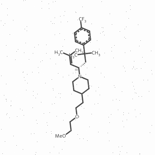 COCCOCCC1CCN([C@H](C=C(C)C)CC(C)(C)c2ccc(C(F)(F)F)cc2)CC1